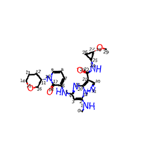 CNc1cc(Nc2cccn([C@H]3CCCOC3)c2=O)nc2c(C(=O)N[C@H]3C[C@@H]3OC)cnn12